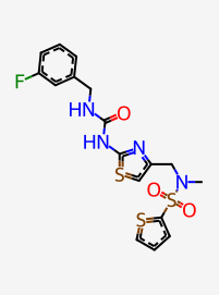 CN(Cc1csc(NC(=O)NCc2cccc(F)c2)n1)S(=O)(=O)c1cccs1